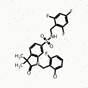 CC1(C)C(=O)N(Cc2c(F)cccc2Cl)c2cc(S(=O)(=O)NCc3c(F)cc(F)cc3F)ccc21